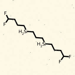 FC(F)CCC[SiH2]CCC[SiH2]CCCC(F)F